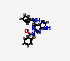 O=c1c2ccccc2sn1-c1nc(NC2CC3CCC2C3)c2nc[nH]c2n1